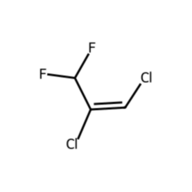 FC(F)/C(Cl)=C\Cl